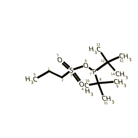 CCCS(=O)(=O)OP(C(C)(C)C)C(C)(C)C